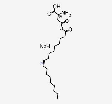 CCCCCCCC/C=C\CCCCCCCC(=O)OC(=O)C[C@H](N)C(=O)O.[NaH]